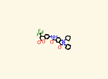 O=C(Nc1ccc2c(C(F)(F)F)cc(=O)oc2c1)c1ccc2c(c1)c(=O)n(-c1ccccc1)n2C1CCCCC1